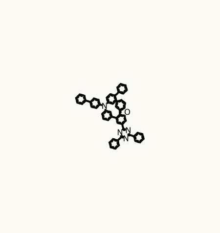 c1ccc(-c2ccc(N(c3ccc(-c4ccccc4)cc3)c3cccc(-c4cc(-c5nc(-c6ccccc6)nc(-c6ccccc6)n5)cc5oc6ccccc6c45)c3)cc2)cc1